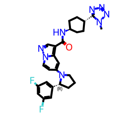 Cn1nnnc1[C@H]1CC[C@H](NC(=O)c2cnn3ccc(N4CCC[C@@H]4c4cc(F)cc(F)c4)cc23)CC1